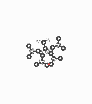 N#Cc1c(-n2c3ccc(-c4nc(-c5ccccc5)nc(-c5ccccc5)n4)cc3c3cc(-c4nc(-c5ccccc5)nc(-c5ccccc5)n4)ccc32)cc(-c2cc(C(F)(F)F)cc(C(F)(F)F)c2)cc1-n1c2ccc(-c3nc(-c4ccccc4)nc(-c4ccccc4)n3)cc2c2cc(-c3nc(-c4ccccc4)nc(-c4ccccc4)n3)ccc21